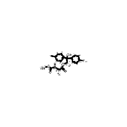 Cc1ccc(C(O)(c2ccc(F)cc2)[C@H](C)OC(=O)[C@H](C)NC(=O)OC(C)(C)C)cc1